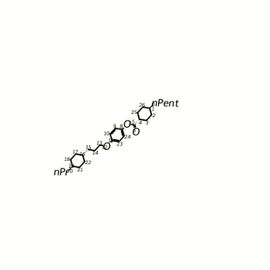 CCCCC[C@H]1CC[C@H](C(=O)Oc2ccc(OCCC[C@H]3CC[C@H](CCC)CC3)cc2)CC1